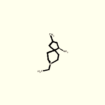 CCN1CCC2(CC1)CC(C)C[C@H]2N